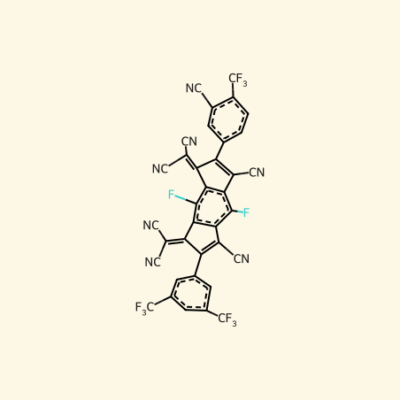 N#CC(C#N)=C1C(c2cc(C(F)(F)F)cc(C(F)(F)F)c2)=C(C#N)c2c(F)c3c(c(F)c21)C(=C(C#N)C#N)C(c1ccc(C(F)(F)F)c(C#N)c1)=C3C#N